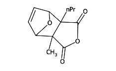 CCCC12C(=O)OC(=O)C1(C)C1C=CC2O1